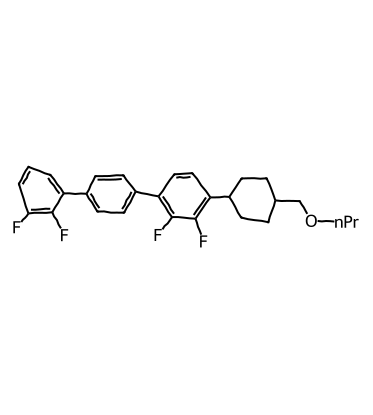 CCCOCC1CCC(c2ccc(-c3ccc(-c4cccc(F)c4F)cc3)c(F)c2F)CC1